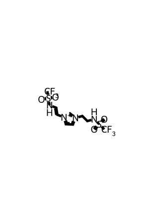 O=S(=O)(NC=C[n+]1ccn(CCNS(=O)(=O)C(F)(F)F)c1)C(F)(F)F